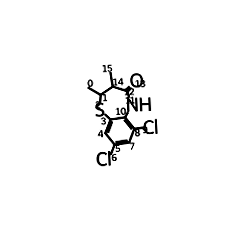 CC1Sc2cc(Cl)cc(Cl)c2NC(=O)C1C